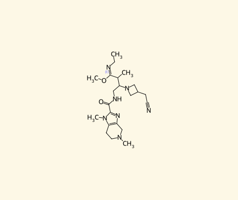 CC/N=C(/OC)C(C)C(CNC(=O)c1nc2c(n1C)CCN(C)C2)N1CC(CC#N)C1